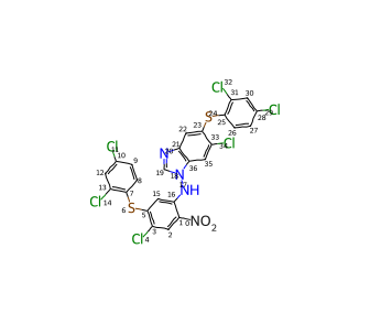 O=[N+]([O-])c1cc(Cl)c(Sc2ccc(Cl)cc2Cl)cc1Nn1cnc2cc(Sc3ccc(Cl)cc3Cl)c(Cl)cc21